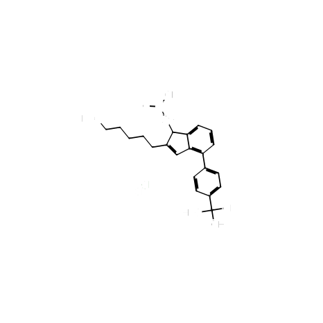 CCCCCCC1=Cc2c(-c3ccc(C(C)(C)C)cc3)cccc2[CH]1[Zr+2][Si](C)C.[Cl-].[Cl-]